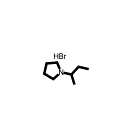 Br.CCC(C)N1CCCC1